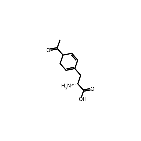 CC(=O)C1C=CC(C[C@@H](N)C(=O)O)=CC1